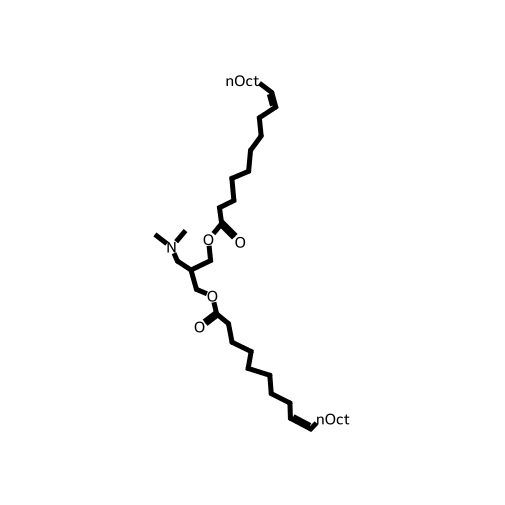 CCCCCCCC/C=C\CCCCCCCC(=O)OCC(COC(=O)CCCCCCC/C=C\CCCCCCCC)CN(C)C